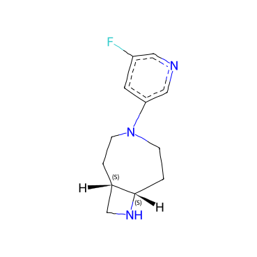 Fc1cncc(N2CC[C@H]3CN[C@H]3CC2)c1